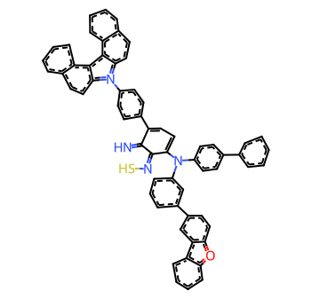 N=C1C(c2ccc(-n3c4ccc5ccccc5c4c4c5ccccc5ccc43)cc2)=CC=C(N(c2ccc(-c3ccccc3)cc2)c2cccc(-c3ccc4oc5ccccc5c4c3)c2)/C1=N/S